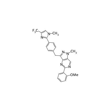 COc1ccccc1-c1ncc2c(n1)c(Cc1ccc(-c3nc(C(F)(F)F)cn3C)cc1)nn2C